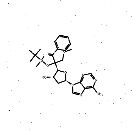 CSCC(O[Si](C)(C)C(C)(C)C)(C(=O)c1ccccc1)[C@H]1O[C@@H](n2cnc3c(N)ncnc32)C[C@H]1O